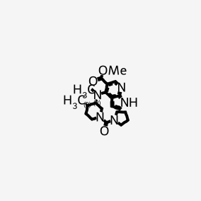 COC(=O)c1cnc2[nH]ccc2c1N(C)[C@H]1CN(C(=O)N2CCCC2)CC[C@H]1C